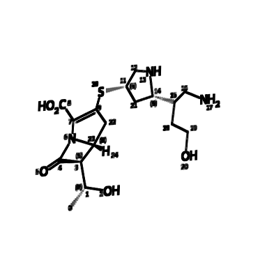 C[C@@H](O)[C@H]1C(=O)N2C(C(=O)O)=C(S[C@@H]3CN[C@H](C(CN)CCO)C3)C[C@H]12